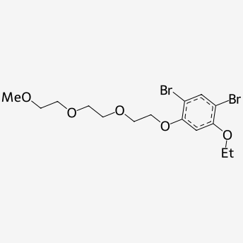 CCOc1cc(OCCOCCOCCOC)c(Br)cc1Br